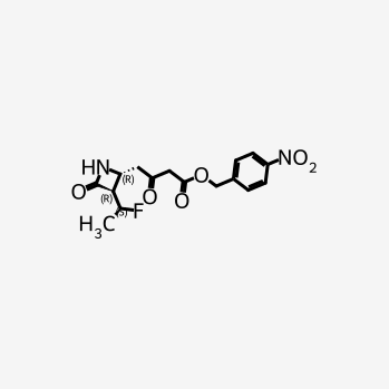 C[C@H](F)[C@H]1C(=O)N[C@@H]1CC(=O)CC(=O)OCc1ccc([N+](=O)[O-])cc1